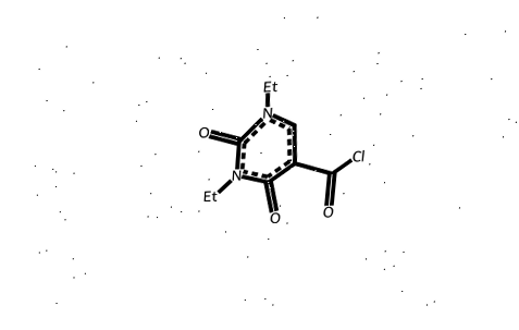 CCn1cc(C(=O)Cl)c(=O)n(CC)c1=O